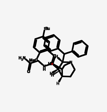 COc1ccc(C(C)(C)C)cc1CN[C@H]1[C@H]2CCN(C[C@@H]2C(=O)NCC(N)=O)[C@H]1C(c1ccccc1)c1ccccc1